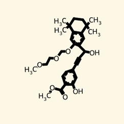 COCCOCOc1cc2c(cc1C(O)C#Cc1ccc(C(=O)OC)c(O)c1)C(C)(C)CCC2(C)C